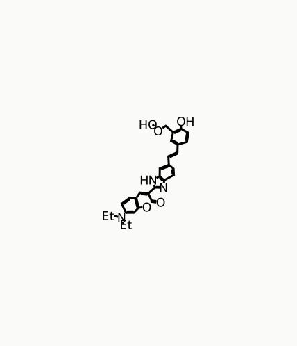 CCN(CC)c1ccc2cc(-c3nc4ccc(/C=C/c5ccc(O)c(COO)c5)cc4[nH]3)c(=O)oc2c1